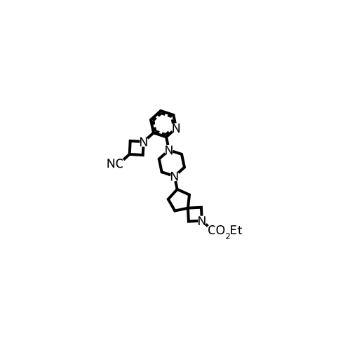 CCOC(=O)N1CC2(CCC(N3CCN(c4ncccc4N4CC(C#N)C4)CC3)C2)C1